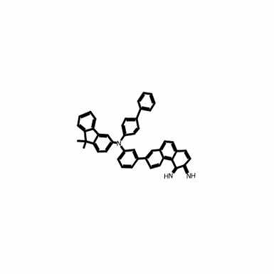 CC1(C)c2ccccc2-c2cc(N(c3ccc(-c4ccccc4)cc3)c3cccc(-c4ccc5c6c(ccc5c4)C=CC(=N)C6=N)c3)ccc21